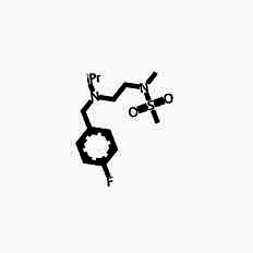 CC(C)N(CCN(C)S(C)(=O)=O)Cc1ccc(F)cc1